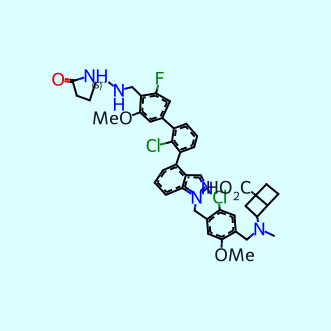 COc1cc(Cn2ncc3c(-c4cccc(-c5cc(F)c(CNC[C@@H]6CCC(=O)N6)c(OC)c5)c4Cl)cccc32)c(Cl)cc1CN(C)C1CC2(C(=O)O)CCC12